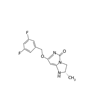 C[C@H]1Cn2c(cc(OCc3cc(F)cc(F)c3)nc2=O)N1